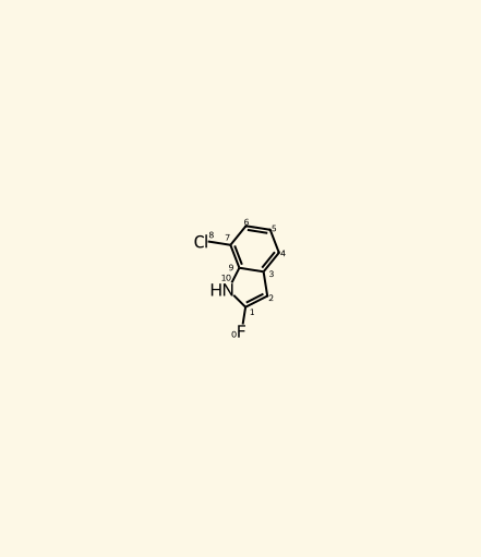 Fc1cc2cccc(Cl)c2[nH]1